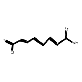 CCCC(/C=C/C=C/C=C/C(=O)Cl)CC